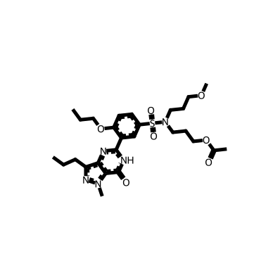 CCCOc1ccc(S(=O)(=O)N(CCCOC)CCCOC(C)=O)cc1-c1nc2c(CCC)nn(C)c2c(=O)[nH]1